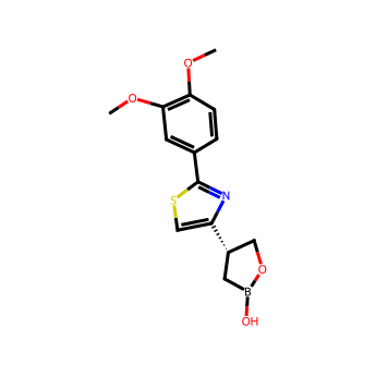 COc1ccc(-c2nc([C@@H]3COB(O)C3)cs2)cc1OC